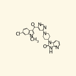 Cn1cc(C(=O)c2cc(N3CCC(n4c(=O)[nH]c5ncccc54)CC3)ncn2)c2ccc(Cl)cc21